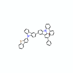 c1ccc(-c2ccc3c(c2)c2cc(-c4ccc5c(c4)c4ccccc4n5-c4ccc5c(c4)sc4ccccc45)ccc2n3-c2ccccc2-c2ccccc2)cc1